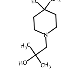 CCC1(C)CCN(CC(C)(C)O)CC1